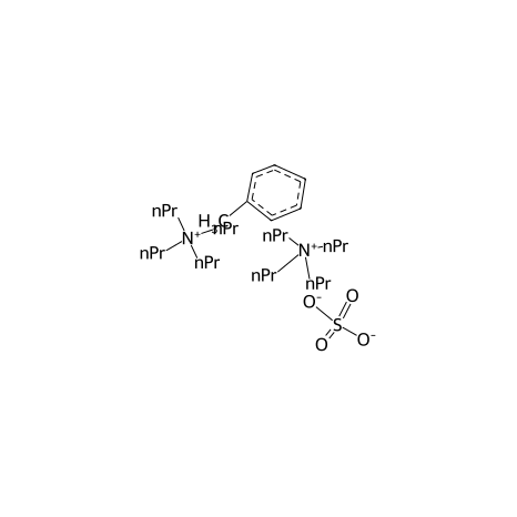 CCC[N+](CCC)(CCC)CCC.CCC[N+](CCC)(CCC)CCC.Cc1ccccc1.O=S(=O)([O-])[O-]